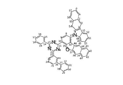 C1=CC2=Cc3c(n(-c4ccc(-c5nc(-c6ccccc6)nc(-c6cccc(-c7ccccc7)c6)n5)c5oc6cc7ccccc7cc6c45)c4ccccc34)CC2C=C1